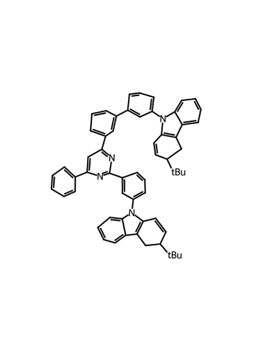 CC(C)(C)C1C=Cc2c(c3ccccc3n2-c2cccc(-c3cccc(-c4cc(-c5ccccc5)nc(-c5cccc(-n6c7c(c8ccccc86)CC(C(C)(C)C)C=C7)c5)n4)c3)c2)C1